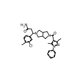 Cc1ccc(C(CC(N)=O)N2CC3CN(C(=O)c4c(C)nn(-c5ccccc5)c4C)CC3C2)cc1Cl